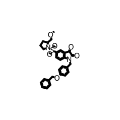 COCC1CCCN1S(=O)(=O)c1ccc2c(c1)C(=O)C(=O)N2Cc1ccc(OCc2ccccc2)cc1